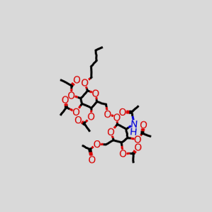 CCCCCOC1OC(COOC2OC(COC(C)=O)C(OC(C)=O)C(OC(C)=O)C2NC(C)=O)C(OC(C)=O)C(OC(C)=O)C1OC(C)=O